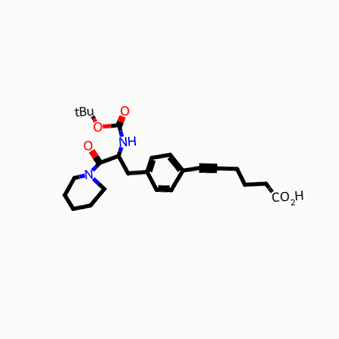 CC(C)(C)OC(=O)NC(Cc1ccc(C#CCCCC(=O)O)cc1)C(=O)N1CCCCC1